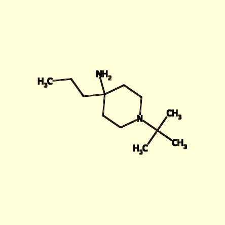 CCCC1(N)CCN(C(C)(C)C)CC1